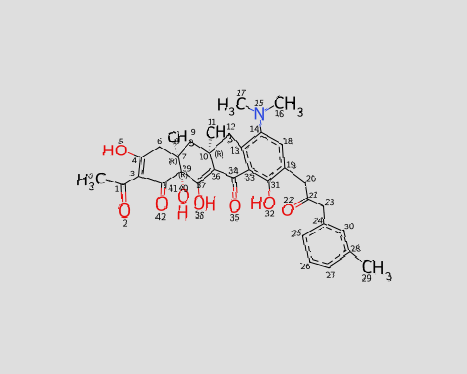 CC(=O)C1=C(O)C[C@@]2(C)C[C@@]3(C)Cc4c(N(C)C)cc(CC(=O)Cc5cccc(C)c5)c(O)c4C(=O)C3=C(O)[C@@]2(O)C1=O